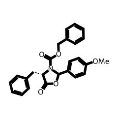 COc1ccc(C2OC(=O)[C@H](Cc3ccccc3)N2C(=O)OCc2ccccc2)cc1